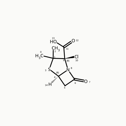 CC1(C)S[C@@H]2CC(=O)N2[C@@]1(Cl)C(=O)O